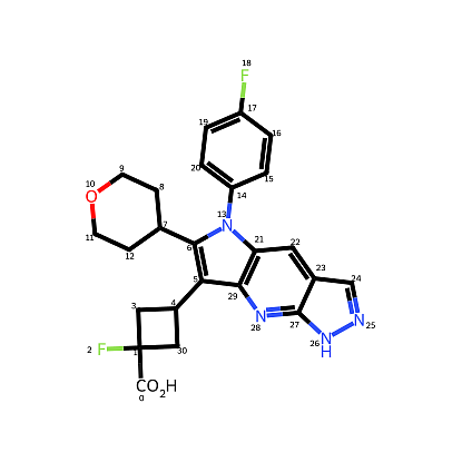 O=C(O)C1(F)CC(c2c(C3CCOCC3)n(-c3ccc(F)cc3)c3cc4cn[nH]c4nc23)C1